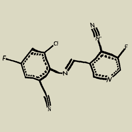 N#Cc1cc(F)cc(Cl)c1/N=C/c1cncc(F)c1[N+]#N